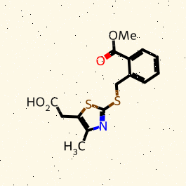 COC(=O)c1ccccc1CSc1nc(C)c(CC(=O)O)s1